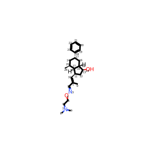 CC(/C=N/OCCN(C)C)=C\[C@@H]1C[C@H](O)[C@H]2C[C@@H](c3ccccc3)C[C@H](C)[C@@H]21